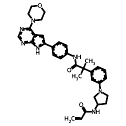 C=CC(=O)NC1CCN(c2cccc(C(C)(C)C(=O)Nc3ccc(-c4cc5c(N6CCOCC6)ncnc5[nH]4)cc3)c2)C1